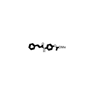 COC(C)Oc1ccc(NC(=O)C=Cc2ccccc2)cc1